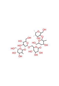 CC1C(O)[C@H](O[C@@H]2OC(CO[C@H]3OC(CO)[C@@H](O)C(O)[C@H]3O[C@@H]3O[C@@H](CO)[C@@H](O)C(O)C3C)[C@@H](O)C(O)[C@H]2O)C(CO)O[C@H]1O[C@@H]1C(CO)O[C@@H](C)[C@@H](C)C1O